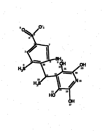 Bc1cc([N+](=O)[O-])cc(B)c1C(B)c1c(O)c(O)nc(O)c1O